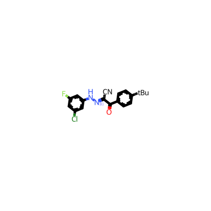 CC(C)(C)c1ccc(C(=O)/C(C#N)=N/Nc2cc(F)cc(Cl)c2)cc1